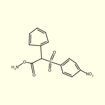 NOC(=O)C(c1ccccc1)S(=O)(=O)c1ccc([N+](=O)[O-])cc1